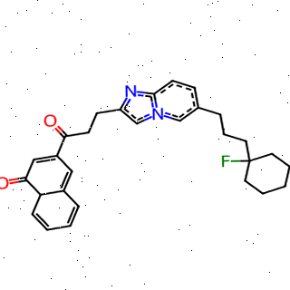 O=C(CCc1cn2cc(CCCC3(F)CCCCC3)ccc2n1)C1=CC(=O)C2C=CC=CC2=C1